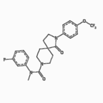 CN(C(=O)N1CCC2(CC1)CCN(c1ccc(OC(F)(F)F)cc1)C2=O)c1cccc(F)c1